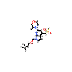 CC1COCCN1c1cc(CS(C)(=O)=O)c2ccn(COCC[Si](C)(C)C)c2n1